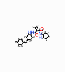 O=C(Nc1ccccc1)C1(C(=O)Nc2ccc(Cc3ccccc3)cc2)CC1